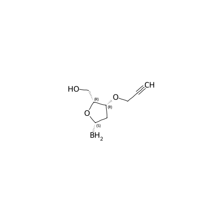 B[C@H]1C[C@@H](OCC#C)[C@@H](CO)O1